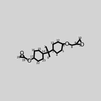 CC(C)(C1CCC(OCC2CO2)CC1)C1CCC(OC2CO2)CC1